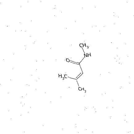 CNC(=O)C=C(C)C